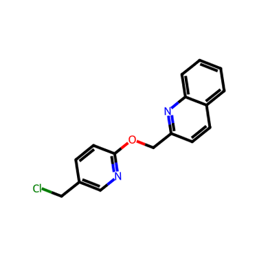 ClCc1ccc(OCc2ccc3ccccc3n2)nc1